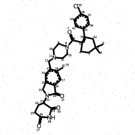 CC1(C)CCC(C(=O)N2CCN(Cc3cc4c(cc3F)C(=O)N(C3CCC(=O)NC3=O)C4)CC2)=C(c2ccc(Cl)cc2)C1